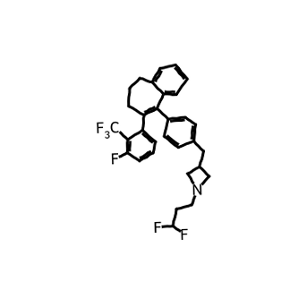 Fc1cccc(C2=C(c3ccc(CC4CN(CCC(F)F)C4)cc3)c3ccccc3CCC2)c1C(F)(F)F